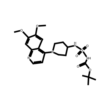 COc1cc2nccc(N3CCC(NS(=O)(=O)NC(=O)OC(C)(C)C)CC3)c2cc1OC